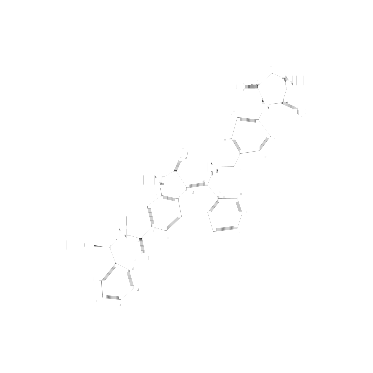 C[C@@H](NC(=O)c1ccc2c(c1)NC(=O)/C2=C(\NCc1ccc(N2C(=O)CNC2=O)cc1)c1ccccc1)c1ccccc1